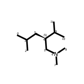 CC(C)C[C@H](CN(C)C)C(C)C